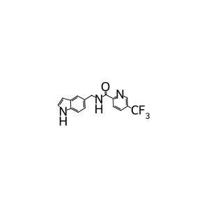 O=C(NCc1ccc2[nH]ccc2c1)c1ccc(C(F)(F)F)cn1